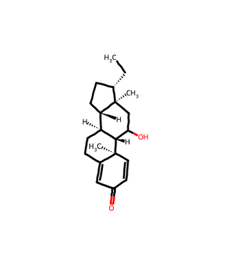 CC[C@H]1CC[C@H]2[C@@H]3CCC4=CC(=O)C=C[C@]4(C)[C@H]3C(O)C[C@]12C